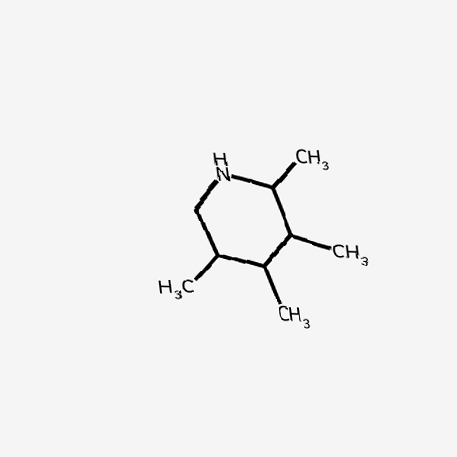 CC1CNC(C)C(C)C1C